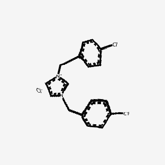 Clc1ccc(Cn2cc[n+](Cc3ccc(Cl)cc3)c2)cc1.[Cl-]